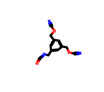 N#COCc1cc(CN=C=O)cc(COC#N)c1